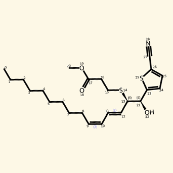 CCCCCCCCC/C=C\C=C\[C@@H](SCCC(=O)OC)[C@H](O)c1ccc(C#N)s1